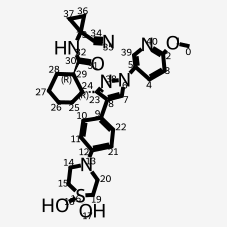 COc1ccc(-n2cc(-c3ccc(N4CCS(O)(O)CC4)cc3)c([C@@H]3CCCC[C@H]3C(=O)NC3(C#N)CC3)n2)cn1